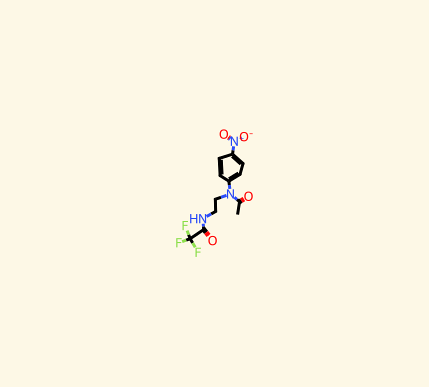 CC(=O)N(CCNC(=O)C(F)(F)F)c1ccc([N+](=O)[O-])cc1